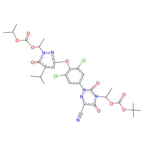 CC(C)OC(=O)OC(C)n1nc(Oc2c(Cl)cc(-n3nc(C#N)c(=O)n(C(C)OC(=O)OC(C)(C)C)c3=O)cc2Cl)cc(C(C)C)c1=O